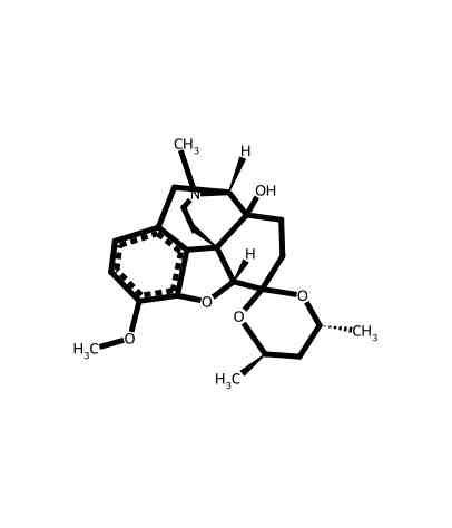 COc1ccc2c3c1O[C@H]1C4(CCC5(O)[C@@H](C2)N(C)CC[C@]315)O[C@H](C)C[C@@H](C)O4